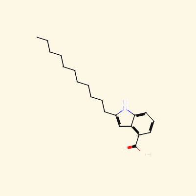 CCCCCCCCCCCc1cc2c(C(=O)O)cccc2[nH]1